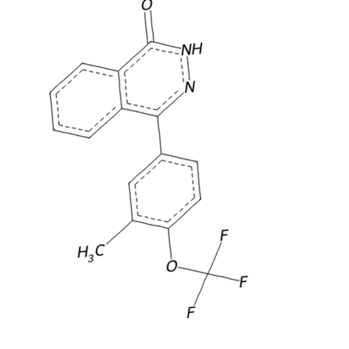 Cc1cc(-c2n[nH]c(=O)c3ccccc23)ccc1OC(F)(F)F